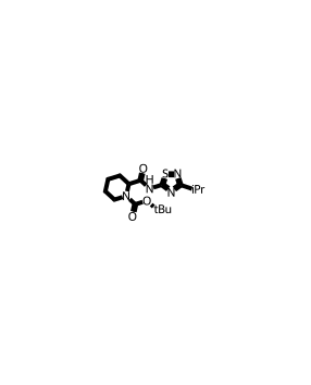 CC(C)c1nsc(NC(=O)C2CCCCN2C(=O)OC(C)(C)C)n1